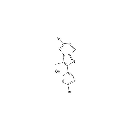 OCc1c(-c2ccc(Br)cc2)nc2ccc(Br)cn12